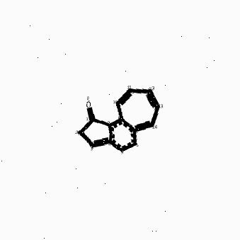 O=C1CC=c2ccc3c(c21)C=CC=CC=3